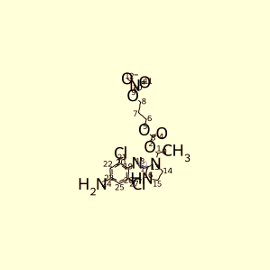 CC(OC(=O)OCCCO[N+](=O)[O-])N1CCN/C1=N\c1c(Cl)cc(N)cc1Cl